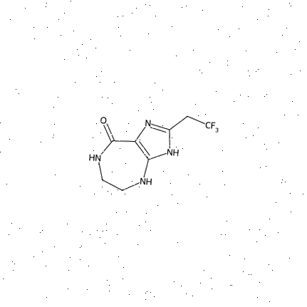 O=C1NCCNc2[nH]c(CC(F)(F)F)nc21